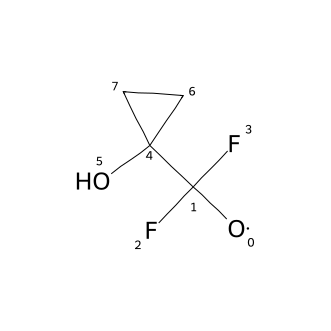 [O]C(F)(F)C1(O)CC1